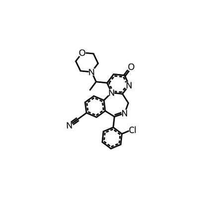 CC(c1cc(=O)nc2n1-c1ccc(C#N)cc1C(c1ccccc1Cl)=NC2)N1CCOCC1